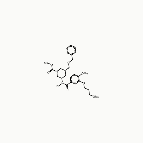 COCCCOc1cc(C(=O)N(C(C)C)C2C[C@H](COCc3ccccc3)CN(C(=O)OC(C)(C)C)C2)ccc1OC